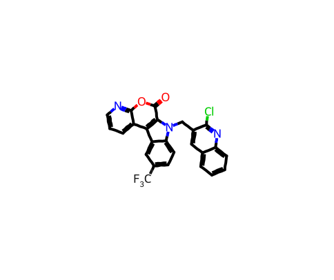 O=c1oc2ncccc2c2c3cc(C(F)(F)F)ccc3n(Cc3cc4ccccc4nc3Cl)c12